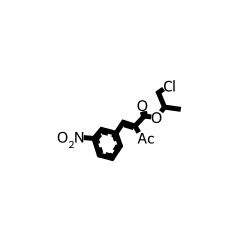 CC(=O)/C(=C\c1cccc([N+](=O)[O-])c1)C(=O)OC(C)CCl